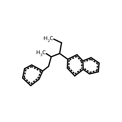 [CH2]CC(c1ccc2ccccc2c1)C(C)Cc1ccccc1